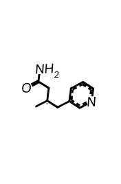 C[C](CC(N)=O)Cc1cccnc1